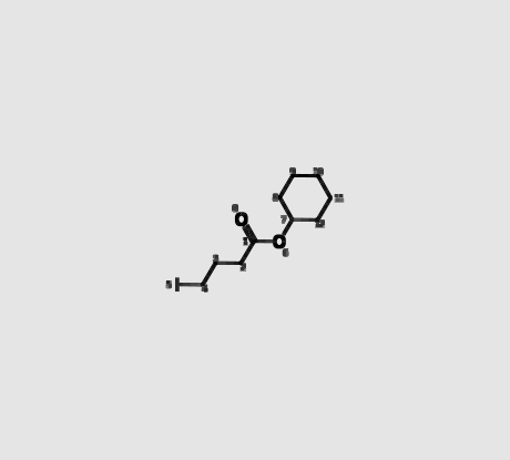 O=C(CCCI)OC1CCCCC1